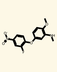 CNc1cc(Oc2ccc([N+](=O)[O-])cc2F)ccc1OC